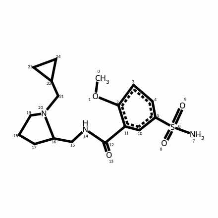 COc1ccc(S(N)(=O)=O)cc1C(=O)NCC1CCCN1CC1CC1